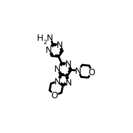 Nc1ncc(-c2nc(N3CCOCC3)c3nc4n(c3n2)CCOC4)cn1